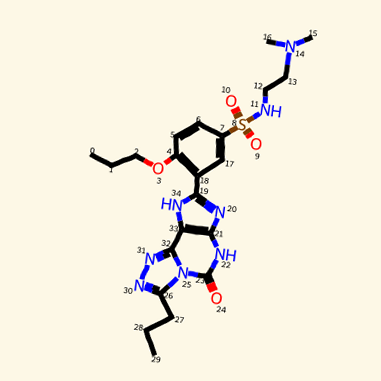 CCCOc1ccc(S(=O)(=O)NCCN(C)C)cc1-c1nc2[nH]c(=O)n3c(CCC)nnc3c2[nH]1